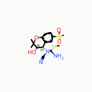 CSC(N)=[N+](C#N)[C@H]1c2cc(S(C)(=O)=O)ccc2OC(C)(C)[C@@H]1O